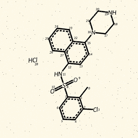 Cc1c(Cl)cccc1S(=O)(=O)Nc1ccc(N2CCNCC2)c2ccccc12.Cl